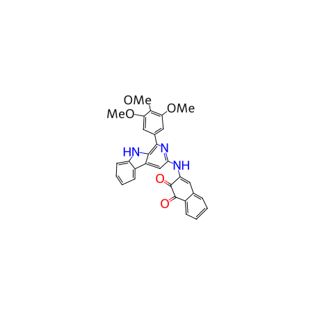 COc1cc(-c2nc(NC3=Cc4ccccc4C(=O)C3=O)cc3c2[nH]c2ccccc23)cc(OC)c1OC